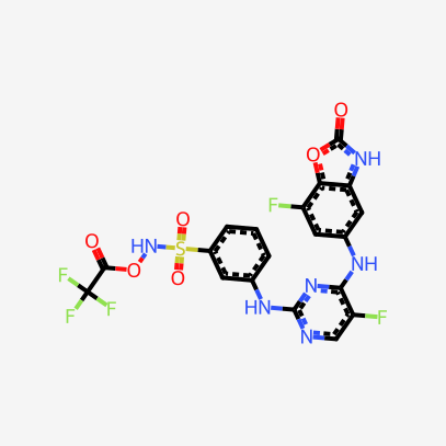 O=C(ONS(=O)(=O)c1cccc(Nc2ncc(F)c(Nc3cc(F)c4oc(=O)[nH]c4c3)n2)c1)C(F)(F)F